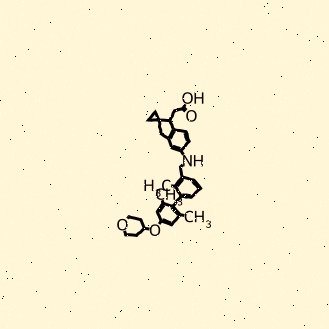 Cc1cc(OC2CCOCC2)cc(C)c1-c1cccc(CNc2ccc3c(c2)CC2(CC2)C3CC(=O)O)c1C